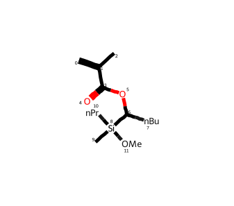 C=C(C)C(=O)OC(CCCC)[Si](C)(CCC)OC